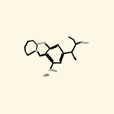 Br.CCCCCC(C)C(C)c1cc(OC)c(CN2CCCCC2)c(OC)c1